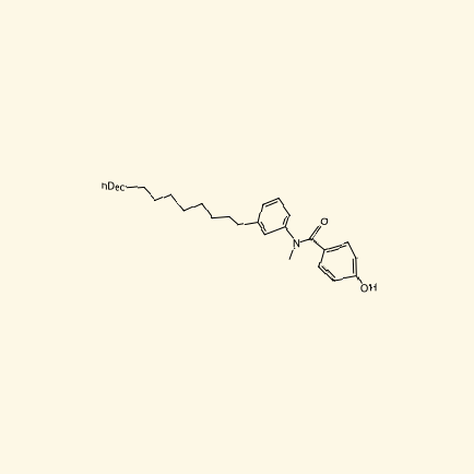 CCCCCCCCCCCCCCCCCCc1cccc(N(C)C(=O)c2ccc(O)cc2)c1